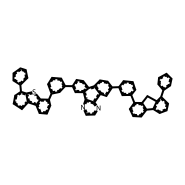 c1ccc(-c2cccc3c2Cc2c(-c4cccc(-c5ccc6c7ccc(-c8cccc(-c9cccc%10c9sc9c(-c%11ccccc%11)cccc9%10)c8)cc7c7nccnc7c6c5)c4)cccc2-3)cc1